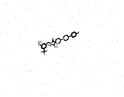 COc1cc(CNC(=O)C2(C(C)C)CCC(N3CCC(c4ccc(F)cc4)CC3)CO2)cc(C(F)(F)F)c1